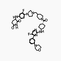 O=C1CCC(Nc2ccc(N3CCN(CC4CCN(C(=O)[C@H]5CC[C@H](Nc6ncc(F)c(-c7cccc(N8CCOCC8)c7)n6)CC5)CC4)CC3)c(F)c2)C(=O)N1